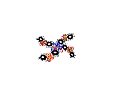 Cc1ccc(S(=O)(=O)Oc2ccc(NC(=O)N(c3ccc(OS(=O)(=O)c4ccccc4)cc3)N(C(=O)Nc3ccc(OS(=O)(=O)c4cccc(C)c4)cc3)c3ccc(OS(=O)(=O)c4ccccc4)cc3)cc2)cc1